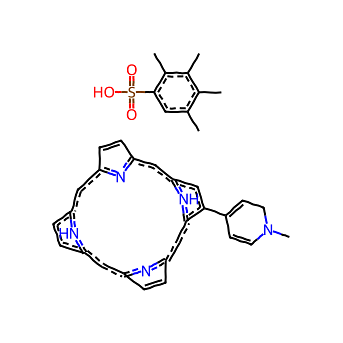 CN1C=CC(c2cc3cc4nc(cc5ccc(cc6nc(cc2[nH]3)C=C6)[nH]5)C=C4)=CC1.Cc1cc(S(=O)(=O)O)c(C)c(C)c1C